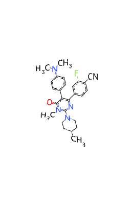 CC1CCN(c2nc(-c3ccc(C#N)c(F)c3)c(-c3ccc(N(C)C)cc3)c(=O)n2C)CC1